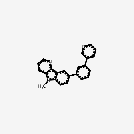 Cn1c2ccc(-c3cccc(-c4cccnc4)c3)cc2c2ncccc21